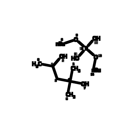 CC(O)CC(C)(C)O.CCCC[O][Ti]([OH])([OH])[O]CCCC